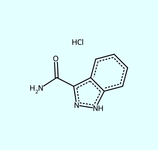 Cl.NC(=O)c1n[nH]c2ccccc12